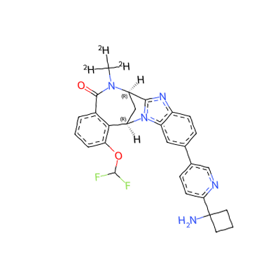 [2H]C([2H])([2H])N1C(=O)c2cccc(OC(F)F)c2[C@H]2C[C@@H]1c1nc3ccc(-c4ccc(C5(N)CCC5)nc4)cc3n12